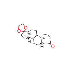 C[C@]12CCC3C(CC[C@H]4CC(=O)CCC[C@]34C)[C@@H]1CCC21OCCO1